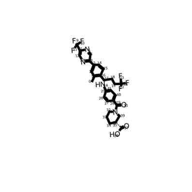 Cc1cc(-c2cnc(C(F)(F)F)cn2)ccc1C(CCC(F)(F)F)Nc1ccc(C(=O)N2CCC[C@@H](C(=O)O)C2)cc1